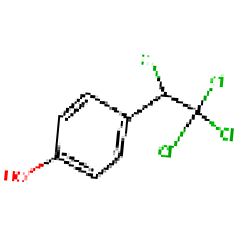 Oc1ccc(C(Cl)C(Cl)(Cl)Cl)cc1